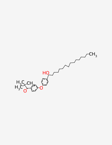 CCCCCCCCCCCCCCCC(O)c1ccc(Oc2ccc(C(=O)C(C)(C)C)cc2)cc1